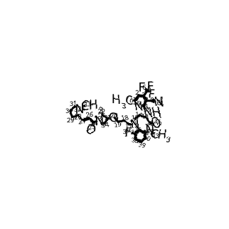 Cc1cc(C(F)(F)F)c(C#N)c(N[C@H]2CCN(CCCOC3CN(C(=O)/C=C/[C@H]4CCCN4C)C3)c3c(F)cccc3N(C)C2=O)n1